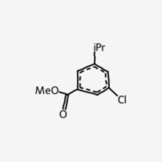 [CH2]C(C)c1cc(Cl)cc(C(=O)OC)c1